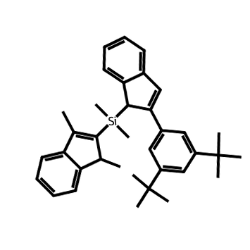 CC1=C([Si](C)(C)C2C(c3cc(C(C)(C)C)cc(C(C)(C)C)c3)=Cc3ccccc32)C(C)c2ccccc21